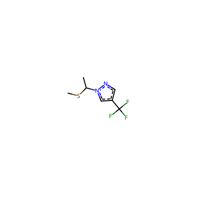 CSC(C)n1cc(C(F)(F)F)cn1